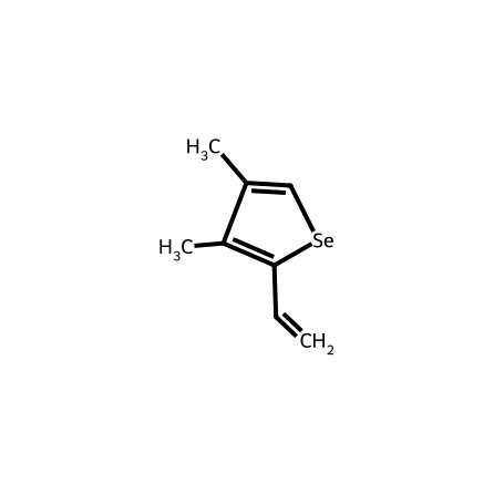 C=Cc1[se]cc(C)c1C